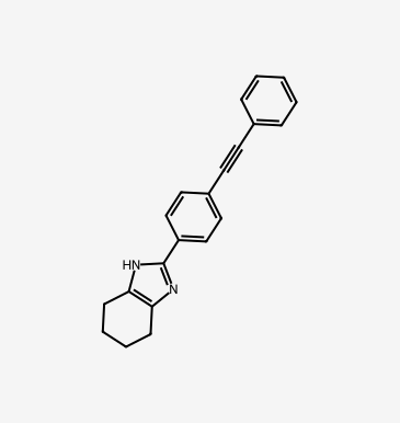 C(#Cc1ccc(-c2nc3c([nH]2)CCCC3)cc1)c1ccccc1